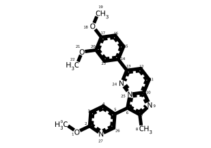 COc1ccc(-c2c(C)nc3ccc(-c4ccc(OC)c(OC)c4)nn23)cn1